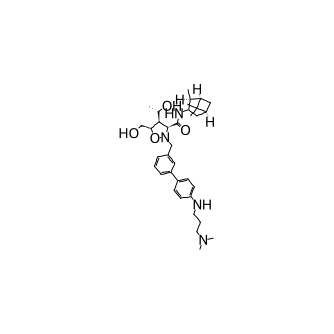 C[C@H](O)[C@@H]1[C@H](CO)ON(Cc2cccc(-c3ccc(NCCCN(C)C)cc3)c2)[C@@H]1C(=O)NC1C[C@@H]2C[C@H]([C@@H]1C)C2(C)C